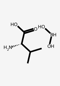 CC(C)[C@H](N)C(=O)O.OBO